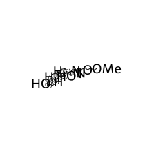 COCCOCc1cn(CC(=O)[C@H]2CC[C@H]3[C@@H]4CC[C@@H]5C[C@](C)(O)CC[C@@H]5C4CC[C@]23C)nn1